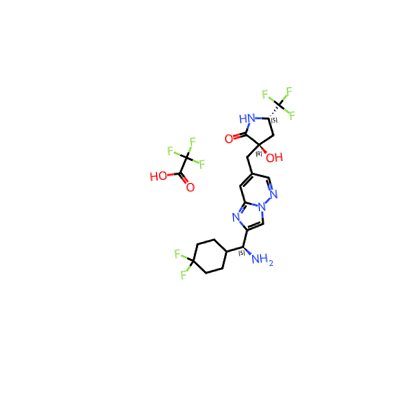 N[C@H](c1cn2ncc(C[C@@]3(O)C[C@@H](C(F)(F)F)NC3=O)cc2n1)C1CCC(F)(F)CC1.O=C(O)C(F)(F)F